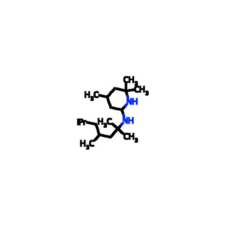 CC(C)CC(C)CC(C)(C)NC1CC(C)CC(C)(C)N1